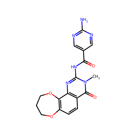 Cn1c(NC(=O)c2cnc(N)nc2)nc2c3c(ccc2c1=O)OCCCO3